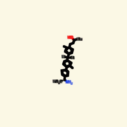 CCC(CC)(c1ccc(CCC(O)C(C)(C)C)c(C)c1)c1ccc(-c2ccc([C@H](N)C(=O)O)cc2)c(C)c1